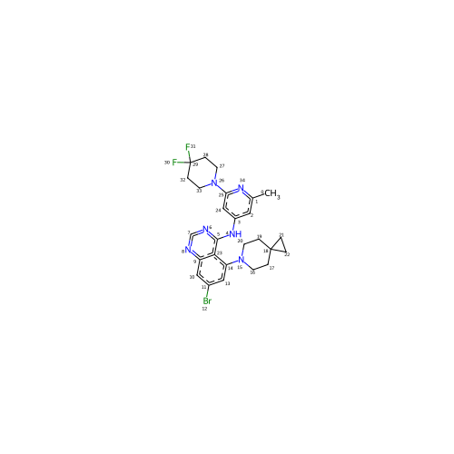 Cc1cc(Nc2ncnc3cc(Br)cc(N4CCC5(CC4)CC5)c23)cc(N2CCC(F)(F)CC2)n1